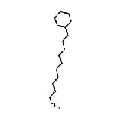 CCCCCCCCCCCC1CCCCC1